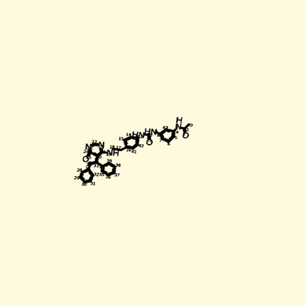 CC(=O)Nc1cccc(NC(=O)Nc2ccc(CCNc3ncnc4oc(-c5ccccc5)c(-c5ccccc5)c34)cc2)c1